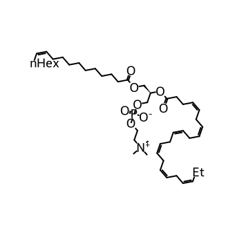 CC/C=C\C/C=C\C/C=C\C/C=C\C/C=C\C/C=C\CCC(=O)O[C@H](COC(=O)CCCCCCCCC/C=C\CCCCCC)COP(=O)([O-])OCC[N+](C)(C)C